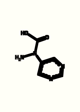 NN(C(=O)O)c1cncnc1